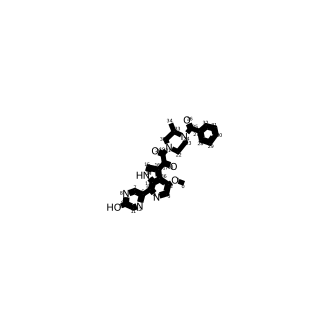 COc1cnc(-c2cnc(O)cn2)c2[nH]cc(C(=O)C(=O)N3CCN(C(=O)c4ccccc4)C(C)C3)c12